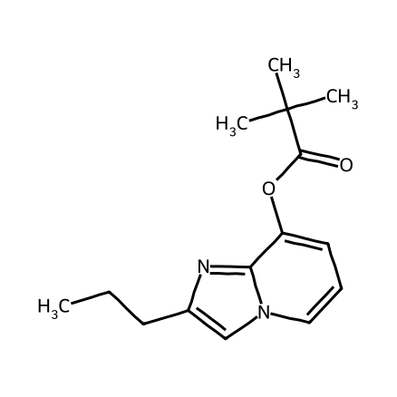 CCCc1cn2cccc(OC(=O)C(C)(C)C)c2n1